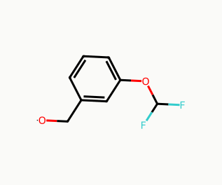 [O]Cc1cccc(OC(F)F)c1